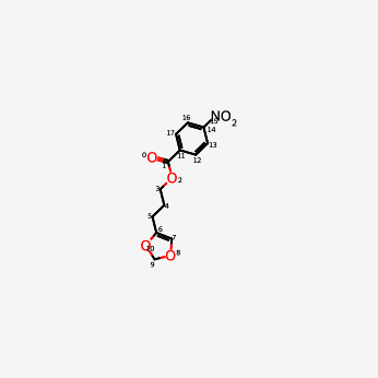 O=C(OCCCC1=COCO1)c1ccc([N+](=O)[O-])cc1